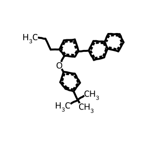 CCCc1ccc(-c2ccc3ccccc3c2)cc1Oc1ccc(C(C)(C)C)cc1